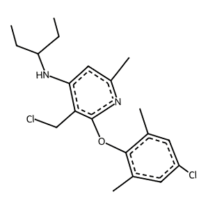 CCC(CC)Nc1cc(C)nc(Oc2c(C)cc(Cl)cc2C)c1CCl